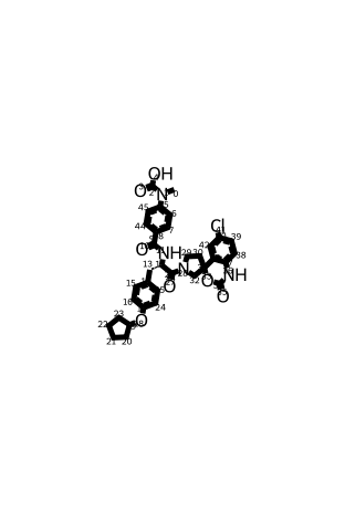 CN(C(=O)O)c1ccc(C(=O)N[C@@H](Cc2ccc(OC3CCCC3)cc2)C(=O)N2CCC3(C2)OC(=O)Nc2ccc(Cl)cc23)cc1